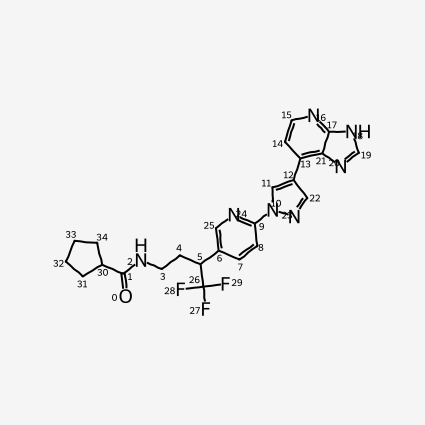 O=C(NCCC(c1ccc(-n2cc(-c3ccnc4[nH]cnc34)cn2)nc1)C(F)(F)F)C1CCCC1